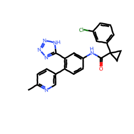 Cc1ccc(-c2ccc(NC(=O)C3(c4cccc(Cl)c4)CC3)cc2-c2nnn[nH]2)cn1